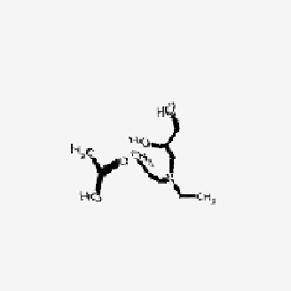 CC(=O)O.CCN(CC)CC(O)CO